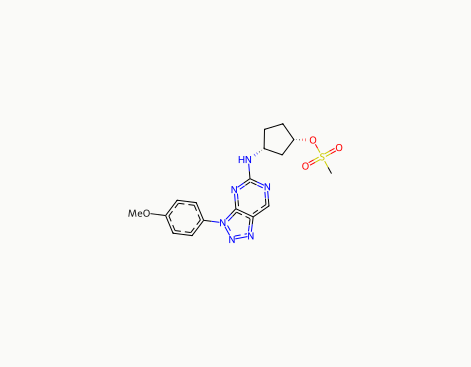 COc1ccc(-n2nnc3cnc(N[C@@H]4CC[C@H](OS(C)(=O)=O)C4)nc32)cc1